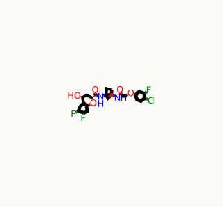 O=C(COc1ccc(Cl)c(F)c1)NC1CC2(NC(=O)[C@H]3C[C@@H](O)c4cc(F)c(F)cc4O3)CC1C2